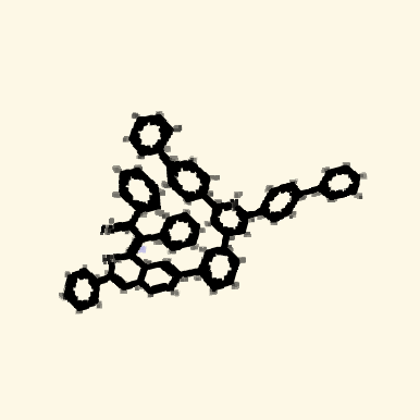 N=C(/C(=C1\NC(c2ccccc2)=CC2C=CC(c3cccc(-c4cc(-c5ccc(-c6ccccc6)cc5)nc(-c5ccc(-c6ccccc6)cc5)c4)c3)=CC12)c1ccccc1)c1ccccc1